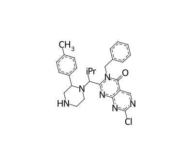 Cc1ccc(C2CNCCN2C(c2nc3nc(Cl)ncc3c(=O)n2Cc2ccccc2)C(C)C)cc1